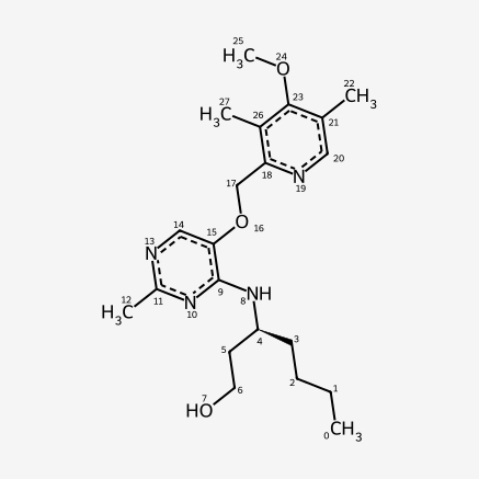 CCCC[C@@H](CCO)Nc1nc(C)ncc1OCc1ncc(C)c(OC)c1C